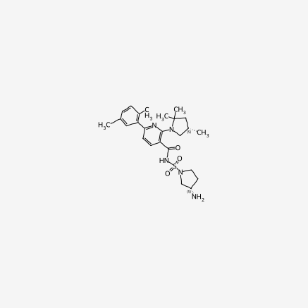 Cc1ccc(C)c(-c2ccc(C(=O)NS(=O)(=O)N3CC[C@H](N)C3)c(N3C[C@@H](C)CC3(C)C)n2)c1